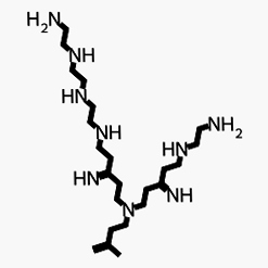 C=C(C)CCN(CCC(=N)CCNCCN)CCC(=N)CCNCCNCCNCCN